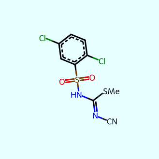 CS/C(=N\C#N)NS(=O)(=O)c1cc(Cl)ccc1Cl